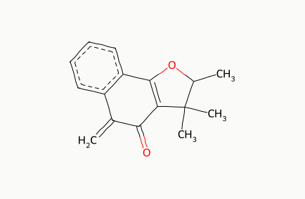 C=C1C(=O)C2=C(OC(C)C2(C)C)c2ccccc21